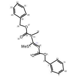 CS/C(=N\C(=O)OCc1ccccc1)N(C)C(=O)OCc1ccccc1